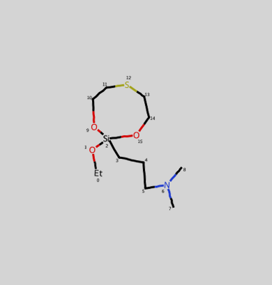 CCO[Si]1(CCCN(C)C)OCCSCCO1